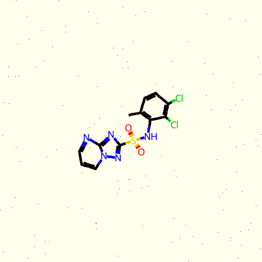 Cc1ccc(Cl)c(Cl)c1NS(=O)(=O)c1nc2ncccn2n1